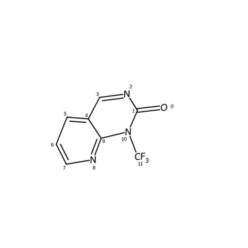 O=c1ncc2cccnc2n1C(F)(F)F